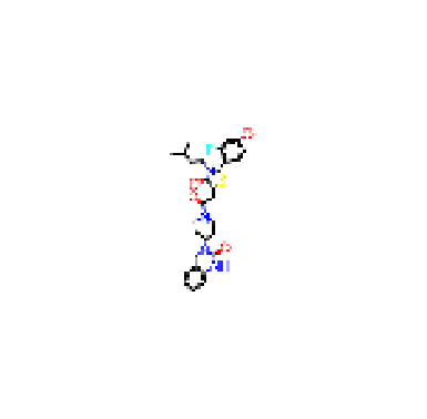 COc1ccc(C2SC(CC(=O)N3CCC(N4Cc5ccccc5NC4=O)CC3)C(=O)N2CCC(C)C)c(F)c1